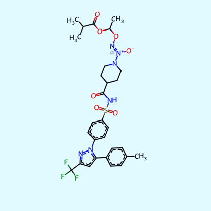 Cc1ccc(-c2cc(C(F)(F)F)nn2-c2ccc(S(=O)(=O)NC(=O)C3CCN(/[N+]([O-])=N/OC(C)OC(=O)C(C)C)CC3)cc2)cc1